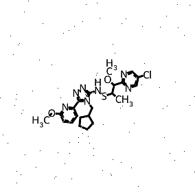 COc1cccc(-c2nnc(NSC(C)C(OC)c3ncc(Cl)cn3)n2CC2CCCC2)n1